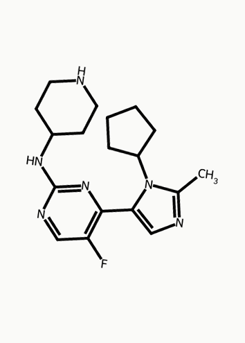 Cc1ncc(-c2nc(NC3CCNCC3)ncc2F)n1C1CCCC1